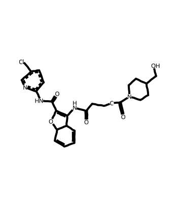 O=C(CCCC(=O)N1CCC(CO)CC1)NC1=C(C(=O)Nc2ccc(Cl)cn2)OC2C=CC=CC12